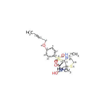 CC#CCOc1ccc(S(=O)(=O)[C@]2(C(=O)NO)N[C@H](C)CSC2(C)C)cc1